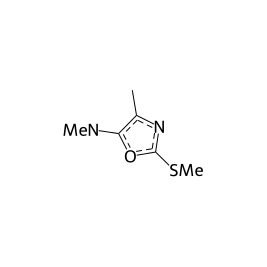 CNc1oc(SC)nc1C